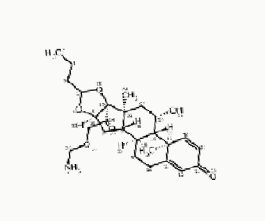 CCCC1O[C@@H]2C[C@H]3[C@@H]4CCC5=CC(=O)C=C[C@]5(C)[C@H]4[C@@H](O)C[C@]3(C)[C@]2(C(=O)COCN)O1